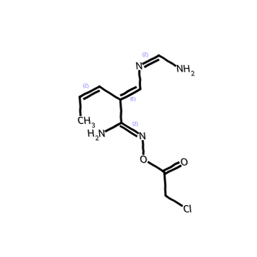 C\C=C/C(=C\N=C/N)C(/N)=N/OC(=O)CCl